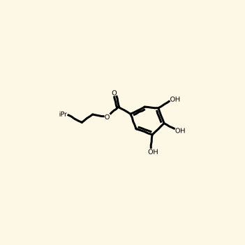 CC(C)CCOC(=O)c1cc(O)c(O)c(O)c1